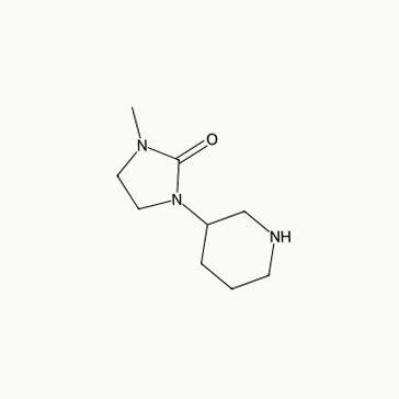 CN1CCN(C2CCCNC2)C1=O